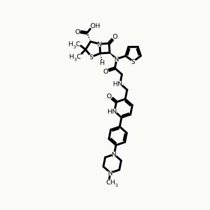 CN1CCN(c2ccc(-c3ccc(CNCC(=O)N(c4cccs4)[C@@H]4C(=O)N5[C@@H]4SC(C)(C)[C@@H]5C(=O)O)c(=O)[nH]3)cc2)CC1